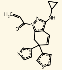 C=CC(=O)n1nc(NC2CC2)c2c1CC(c1ccsc1)(c1ccsc1)C=C2